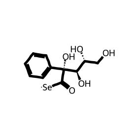 O=C([Se])[C@@](O)(c1ccccc1)[C@H](O)[C@H](O)CO